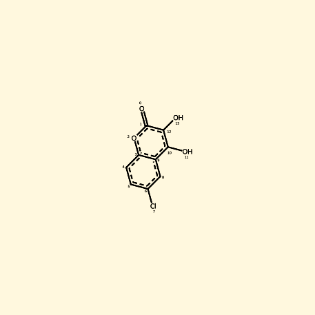 O=c1oc2ccc(Cl)cc2c(O)c1O